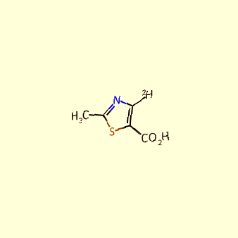 [2H]c1nc(C)sc1C(=O)O